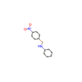 O=[N+]([O-])c1ccc(SNc2ccccc2)cc1